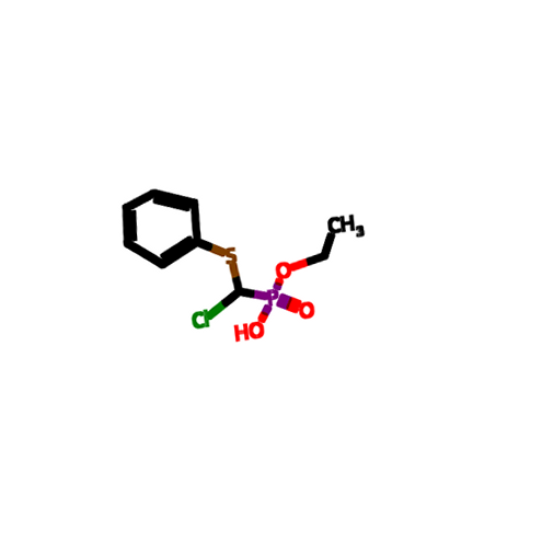 CCOP(=O)(O)C(Cl)Sc1ccccc1